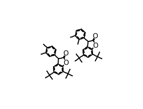 Cc1ccc(C2C(=O)Oc3c2cc(C(C)(C)C)cc3C(C)(C)C)cc1C.Cc1cccc(C2C(=O)Oc3c2cc(C(C)(C)C)cc3C(C)(C)C)c1C